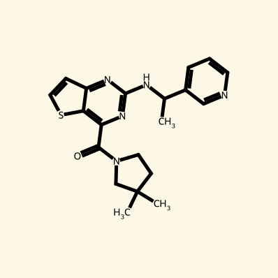 CC(Nc1nc(C(=O)N2CCC(C)(C)C2)c2sccc2n1)c1cccnc1